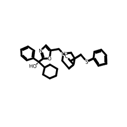 O[C@](c1ccccc1)(c1ncc(C[N+]23CCC(CC2)C(CSc2ccccc2)C3)o1)C1CCCCC1